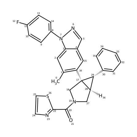 Cc1cc2c(cnn2-c2ccc(F)cc2)cc1[C@@]12CN(C(=O)c3nccs3)C[C@@H]1[C@H]2c1ccccc1